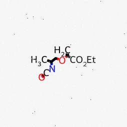 C=C(OCC(C)N=C=O)C(=O)OCC